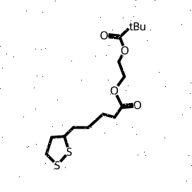 CC(C)(C)C(=O)OCCOC(=O)CCCCC1CCSS1